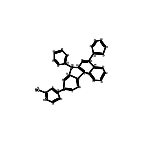 N#Cc1cc(-c2ccc3c4c5ccccc5c(-c5ccccc5)cc4n(-c4ccccc4)c3c2)ccn1